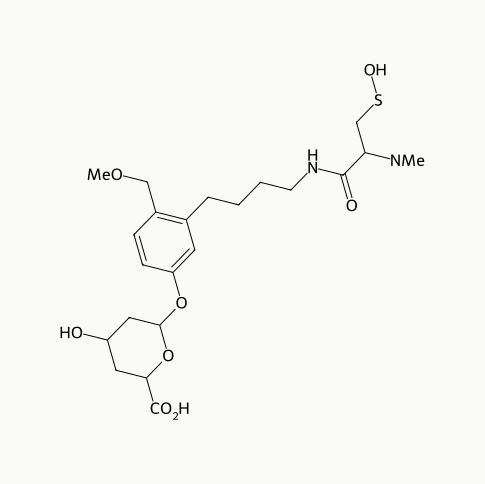 CNC(CSO)C(=O)NCCCCc1cc(OC2CC(O)CC(C(=O)O)O2)ccc1COC